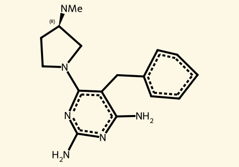 CN[C@@H]1CCN(c2nc(N)nc(N)c2Cc2ccccc2)C1